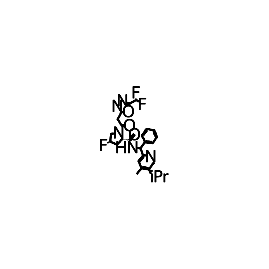 Cc1cc([C@@H](NC(=O)[C@@H]2C[C@@H](F)CN2C(=O)Cc2nnc(C(F)F)o2)c2ccccc2)ncc1C(C)C